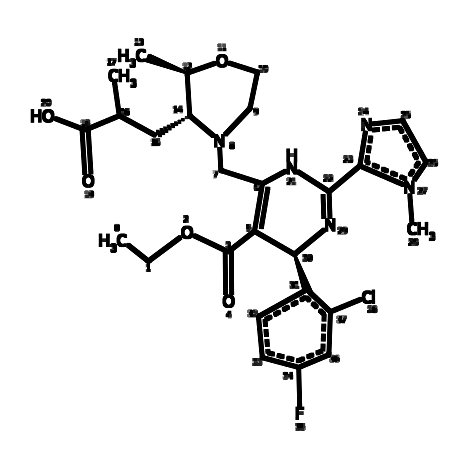 CCOC(=O)C1=C(CN2CCO[C@H](C)[C@H]2CC(C)C(=O)O)NC(c2nccn2C)=N[C@H]1c1ccc(F)cc1Cl